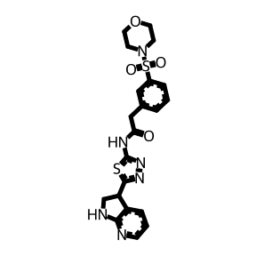 O=C(Cc1cccc(S(=O)(=O)N2CCOCC2)c1)Nc1nnc(C2CNc3ncccc32)s1